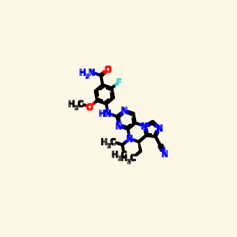 CC[C@@H]1c2c(C#N)ncn2-c2cnc(Nc3cc(F)c(C(N)=O)cc3OC)nc2N1C(C)C